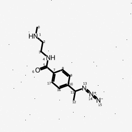 CNCCNC(=O)c1ccc(C(C)N=[N+]=[N-])cc1